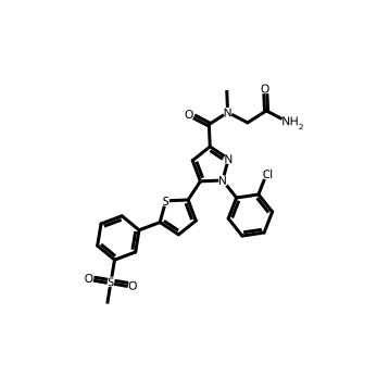 CN(CC(N)=O)C(=O)c1cc(-c2ccc(-c3cccc(S(C)(=O)=O)c3)s2)n(-c2ccccc2Cl)n1